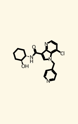 O=C(N[C@H]1CCCC[C@@H]1O)c1cn(Cc2ccncc2)c2c(Cl)ccnc12